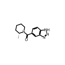 C[C@@H]1CCCCN1C(=O)c1ccc2[nH]nnc2c1